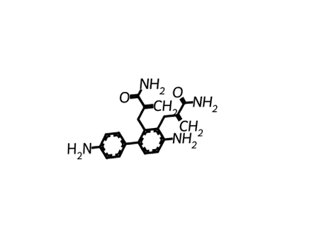 C=C(Cc1c(N)ccc(-c2ccc(N)cc2)c1CC(=C)C(N)=O)C(N)=O